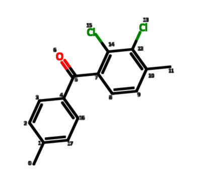 Cc1ccc(C(=O)c2ccc(C)c(Cl)c2Cl)cc1